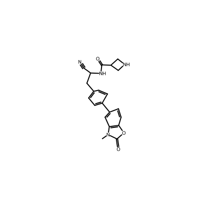 Cn1c(=O)oc2ccc(-c3ccc(CC(C#N)NC(=O)C4CNC4)cc3)cc21